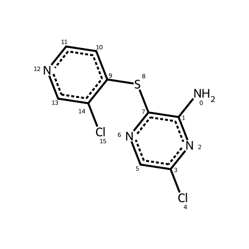 Nc1nc(Cl)cnc1Sc1ccncc1Cl